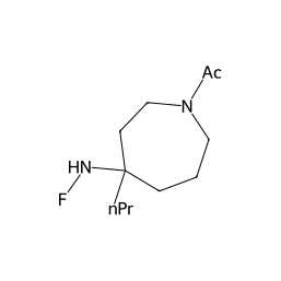 CCCC1(NF)CCCN(C(C)=O)CC1